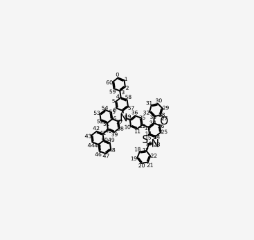 c1ccc(-c2ccc(N(c3ccc(-c4c5sc(-c6ccccc6)nc5cc5oc6ccccc6c45)cc3)c3ccc(-c4cccc5ccccc45)c4ccccc34)cc2)cc1